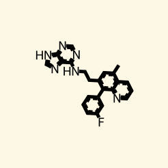 Cc1cc(CCNc2ncnc3[nH]cnc23)c(-c2cccc(F)c2)c2ncccc12